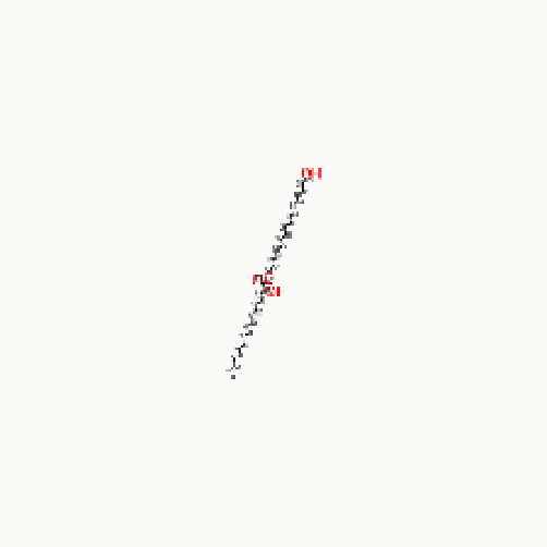 CCCCCCCCCCCCCCCCC(O)C(=O)OCCCCCCCCCCCCCCCCCCO